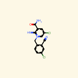 N#Cc1cc(Cl)ccc1Cn1cc(Cl)cc(C(N)=O)c1=N